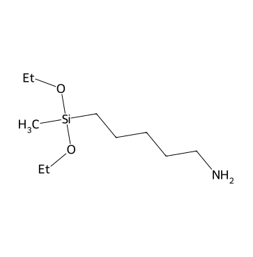 CCO[Si](C)(CCCCCN)OCC